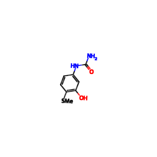 CSc1ccc(NC(N)=O)cc1O